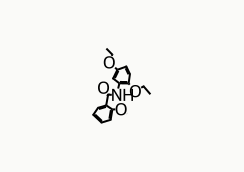 CCOc1ccc(OCC)c(NC(=O)c2ccccc2OC)c1